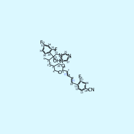 CC(SC1COC(/C=C/C=C/c2ccc(C#N)cc2F)OC1)C(O)(Cn1cncn1)c1ccc(F)cc1F